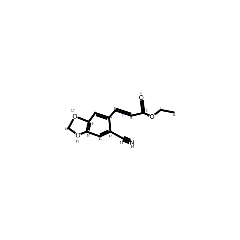 CCOC(=O)/C=C/c1cc2c(cc1C#N)OCO2